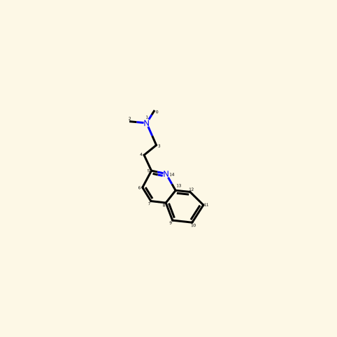 CN(C)CCc1ccc2ccccc2n1